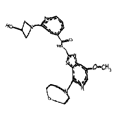 COc1cnc(N2CCOCC2)c2sc(NC(=O)c3ccnc(N4CC(O)C4)c3)nc12